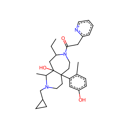 CCC1CC2(O)C(C)N(CC3CC3)CCC2(c2cc(O)ccc2C)CCN1C(=O)Cc1ccccn1